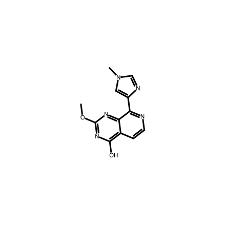 COc1nc(O)c2ccnc(-c3cn(C)cn3)c2n1